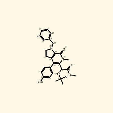 COC(=O)C(OC(C)(C)C)c1c(-c2ccc(Cl)cc2)c2ccn(Cc3ccccc3)c2c(=O)n1C